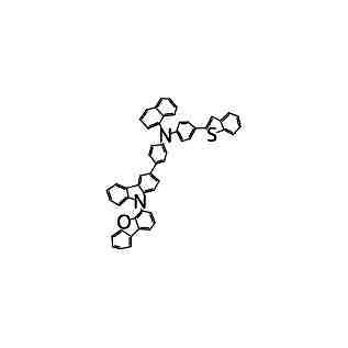 c1ccc2sc(-c3ccc(N(c4ccc(-c5ccc6c(c5)c5ccccc5n6-c5cccc6c5oc5ccccc56)cc4)c4cccc5ccccc45)cc3)cc2c1